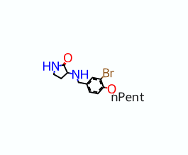 CCCCCOc1ccc(CNC2CCNC2=O)cc1Br